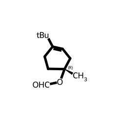 CC(C)(C)C1=CC[C@](C)(OC=O)CC1